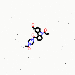 C=CC(=O)n1c2ccc(C=O)cc2c2c(C(=O)N3CCN(C(C)=O)CC3)cccc21